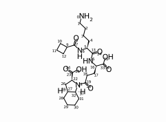 NCCCC[C@H](NC(=O)C1CCC1)C(=O)N[C@H](CCC(=O)N1[C@H](C(=O)O)C[C@@H]2CCCC[C@@H]21)C(=O)O